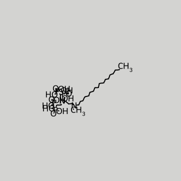 CCCCCCCCCCCCCCCCCCN(C)CCCN(CC(P(=O)(O)O)P(=O)(O)O)CC(P(=O)(O)O)P(=O)(O)O